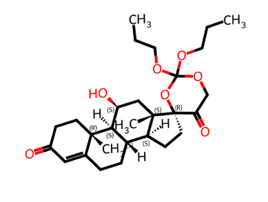 CCCOC1(OCCC)OCC(=O)[C@]2(CC[C@H]3[C@@H]4CCC5=CC(=O)CC[C@]5(C)[C@H]4[C@@H](O)C[C@@]32C)O1